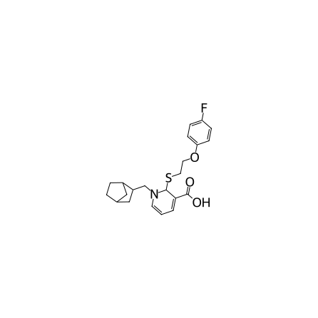 O=C(O)C1=CC=CN(CC2CC3CCC2C3)C1SCCOc1ccc(F)cc1